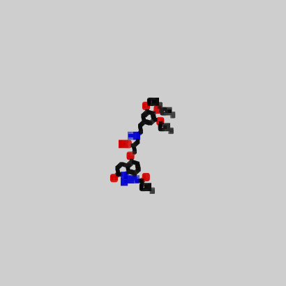 COc1cc(CCNCC(O)COc2ccc(NC(C)=O)c3c2CCC(=O)N3)cc(OC)c1OC